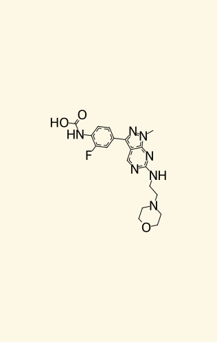 Cn1nc(-c2ccc(NC(=O)O)c(F)c2)c2cnc(NCCN3CCOCC3)nc21